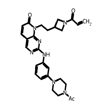 C=CC(=O)N1CC(CCn2c(=O)ccc3cnc(Nc4cccc(N5CCN(C(C)=O)CC5)c4)nc32)C1